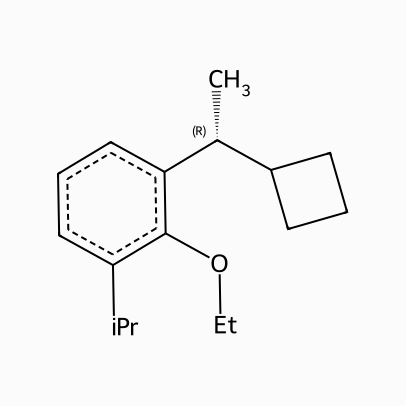 CCOc1c(C(C)C)cccc1[C@H](C)C1CCC1